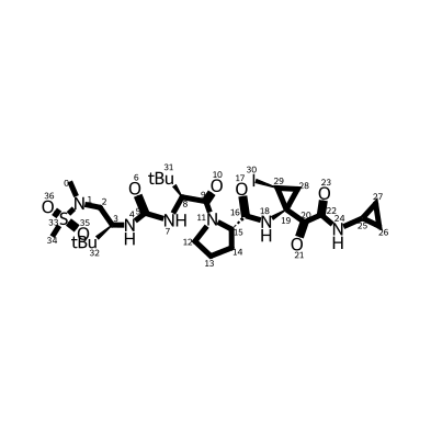 CN(C[C@@H](NC(=O)N[C@H](C(=O)N1CCC[C@H]1C(=O)N[C@]1(C(=O)C(=O)NC2CC2)C[C@@H]1I)C(C)(C)C)C(C)(C)C)S(C)(=O)=O